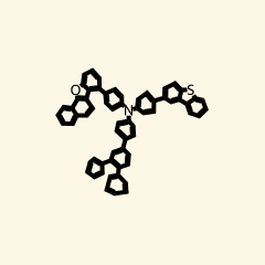 c1ccc(-c2ccc(-c3ccc(N(c4ccc(-c5ccc6sc7ccccc7c6c5)cc4)c4ccc(-c5cccc6oc7c8ccccc8ccc7c56)cc4)cc3)cc2-c2ccccc2)cc1